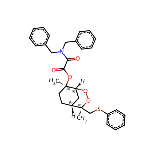 C[C@@]1(OC(=O)C(=O)N(Cc2ccccc2)Cc2ccccc2)CC[C@@H]2C[C@H]1OO[C@@]2(C)CSc1ccccc1